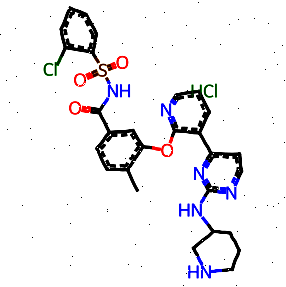 Cc1ccc(C(=O)NS(=O)(=O)c2ccccc2Cl)cc1Oc1ncccc1-c1ccnc(NC2CCCNC2)n1.Cl